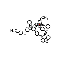 C=CC1=CCC(OC2C=CC(C3C=C4C=CC3C3CCC=CC3C3CC=C(CC3)C(C)(C)C3CC5=C(CC3C3C=CC(=CC3)N4C3=CC=CC4OC6C=CCCC6C34)C3CC(OC4CCC(C=C)CC4)CCC3N5C3CC=CCC3)=CC2)CC1